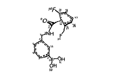 O=C(NCc1cccc(B(O)O)c1)c1c(F)cccc1F